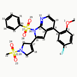 COc1ccc(F)cc1-c1ccnc2c1cc(C1=CCN(S(C)(=O)=O)C1)n2S(=O)(=O)c1ccccc1